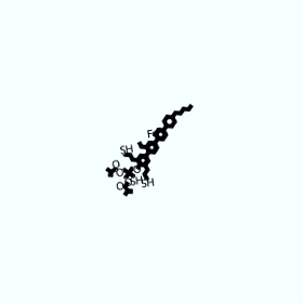 C=C(C)C(=O)OCC(CS)(COC(=O)C(=C)C)COc1c(CCCS)cc(-c2ccc(-c3ccc(C4CCC(CCCCC)CC4)cc3F)cc2CC)cc1CCCS